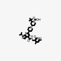 Cc1cc(C)c(CNC(=O)c2cc(C3=CCN(C4CCN(C(=O)O)C(C(C)(C)C)C4)CC3)nc3c2cnn3C(C)C)c(=O)[nH]1